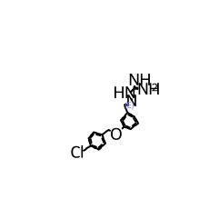 N=C(N)N/N=C/c1cccc(OCc2ccc(Cl)cc2)c1